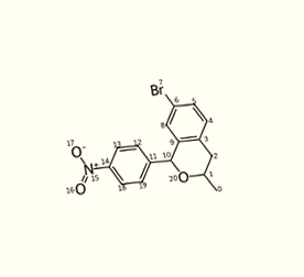 CC1Cc2ccc(Br)cc2C(c2ccc([N+](=O)[O-])cc2)O1